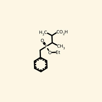 CCOP(=O)(Cc1ccccc1)C(C)C(C)C(=O)O